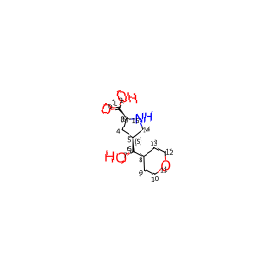 O=C(O)[C@@H]1C[C@H](C(O)C2CCOCC2)CN1